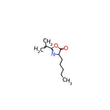 C=C(C)C1=NC(CCCCC)C(=O)O1